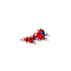 CC#C/C=C\C#C[C@H](O[C@@H]1O[C@H](C)[C@@H](NO[C@H]2C[C@H](O)[C@H](SC(=O)c3c(C)c(I)c(O[C@@H]4O[C@@H](C)[C@H](O)[C@@H](OC)[C@H]4O)c(OC)c3OC)[C@@H](C)O2)[C@@H](O)[C@H]1O[C@H]1C[C@H](OC)[C@@H](NCC)CO1)C1=C(NC(=O)OC)C(=O)C[C@](C)(O)/C1=C/CSS[C@H](C)CO